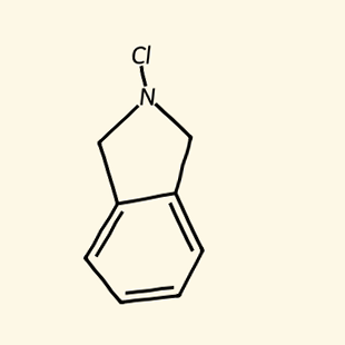 ClN1Cc2ccccc2C1